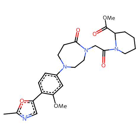 COC(=O)C1CCCCN1C(=O)CN1CCN(c2ccc(-c3cnc(C)o3)c(OC)c2)CCC1=O